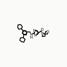 O=C(c1cnc(NCc2cc(C3CCCCC3)cc(C3CCCCC3)c2)nc1)N1CCC12COC2